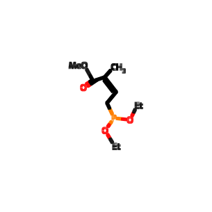 CCOP(CC=C(C)C(=O)OC)OCC